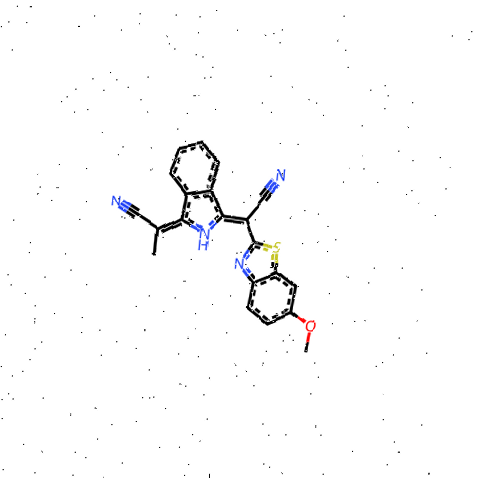 COc1ccc2nc(/C(C#N)=c3\[nH]/c(=C(\C)C#N)c4ccccc34)sc2c1